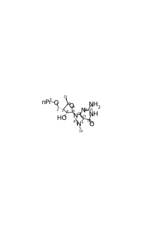 CCCOC[C@H]1[C@@H](O)[C@H](n2c[n+](C)c3c(=O)[nH]c(N)nc32)O[C@@H]1C